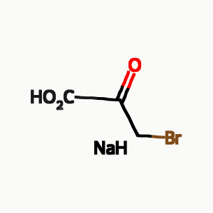 O=C(O)C(=O)CBr.[NaH]